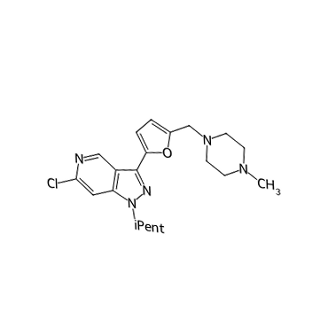 CCCC(C)n1nc(-c2ccc(CN3CCN(C)CC3)o2)c2cnc(Cl)cc21